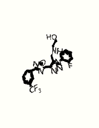 OCCNCc1c(-c2nc(-c3cccc(C(F)(F)F)c3)no2)nnn1-c1ccccc1F